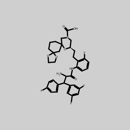 NC(C(=O)Nc1cccc(F)c1CC[C@@H]1CN(C(=O)O)CC2(CCCC3(C2)OCCO3)O1)C(c1ccc(F)cc1)c1cc(F)cc(F)c1